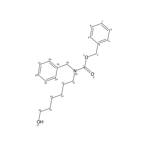 O=C(OCc1ccccc1)N(CCCCCCO)Cc1ccccc1